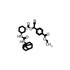 CCOC(=O)c1ccc(C(C#N)OC(=O)[C@H]2CCC[C@H](NC(=O)NC34CC5CC(CC(C5)C3)C4)C2)cc1